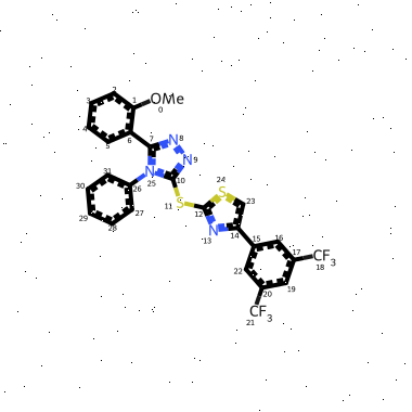 COc1ccccc1-c1nnc(Sc2nc(-c3cc(C(F)(F)F)cc(C(F)(F)F)c3)cs2)n1-c1ccccc1